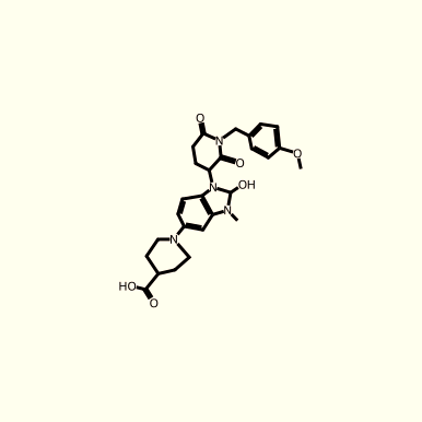 COc1ccc(CN2C(=O)CCC(N3c4ccc(N5CCC(C(=O)O)CC5)cc4N(C)C3O)C2=O)cc1